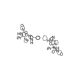 CC(C)[C@H](NC(=O)N1CCOCC1)C(=O)N1CCC[C@H]1c1ncc(-c2ccc([C@H]3CC[C@@H](c4cnc([C@@H]5CCCN5C(=O)[C@@H](NC(=O)N5CCOCC5)C(C)C)[nH]4)CC3)cc2)[nH]1